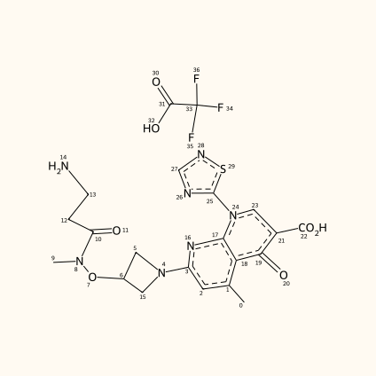 Cc1cc(N2CC(ON(C)C(=O)CCN)C2)nc2c1c(=O)c(C(=O)O)cn2-c1ncns1.O=C(O)C(F)(F)F